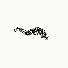 CN(C(=O)c1ccc(OCC2CC2)cn1)C1CCc2cc(C=O)ccc2C1